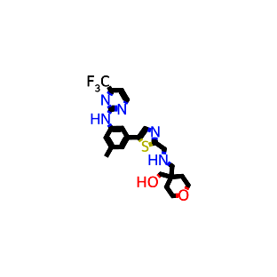 Cc1cc(Nc2nccc(C(F)(F)F)n2)cc(-c2cnc(CNCC3(CO)CCOCC3)s2)c1